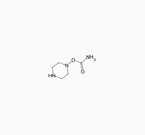 NC(=O)ON1CCNCC1